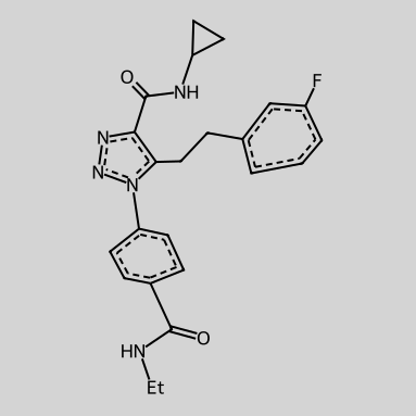 CCNC(=O)c1ccc(-n2nnc(C(=O)NC3CC3)c2CCc2cccc(F)c2)cc1